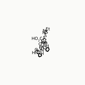 CCc1nnc(SCC2=C(C(=O)O)N3C(=O)C(NC(=O)C(NC(=O)n4c(=O)[nH]c5ccccc54)c4ccccc4)[C@@H]3SC2)s1